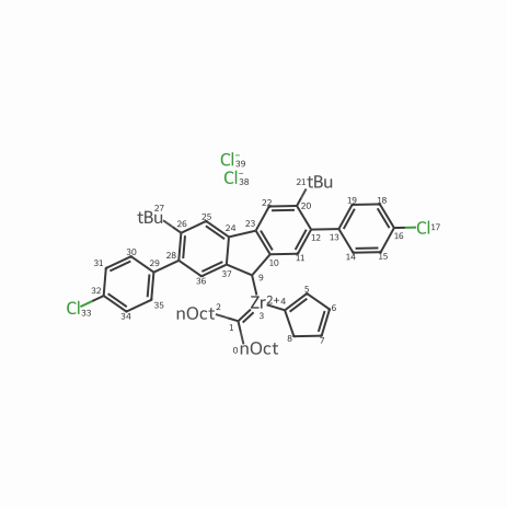 CCCCCCCC[C](CCCCCCCC)=[Zr+2]([C]1=CC=CC1)[CH]1c2cc(-c3ccc(Cl)cc3)c(C(C)(C)C)cc2-c2cc(C(C)(C)C)c(-c3ccc(Cl)cc3)cc21.[Cl-].[Cl-]